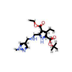 CCOC(=O)c1c(CNCc2cnn(C)c2)[nH]c(C(=O)OC(C)(C)C)c1CC